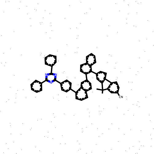 CC1(C)c2cc(C#N)ccc2-c2ccc(-c3c(-c4ccc5cccc(-c6ccc(-c7nc(-c8ccccc8)nc(-c8ccccc8)n7)cc6)c5c4)ccc4ccccc34)cc21